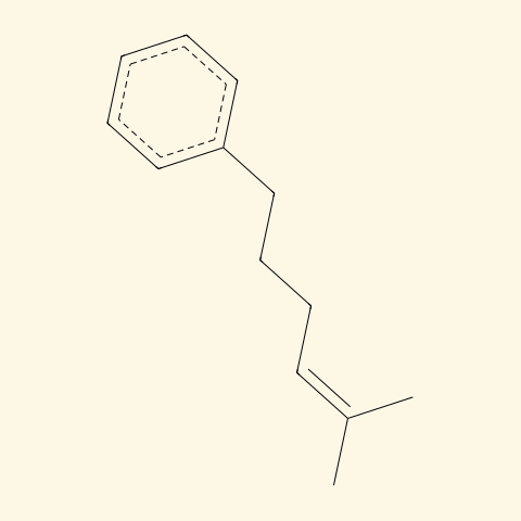 CC(C)=CCCCc1ccccc1